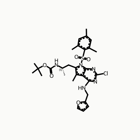 Cc1cc(C)c(S(=O)(=O)n2c(C[C@H](C)NC(=O)OC(C)(C)C)c(C)c3c(NCc4ccco4)nc(Cl)nc32)c(C)c1